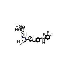 NC/C(=C\C=C/NCOP(=O)(O)O)c1cc(Cc2ccc(CNc3ccc(F)c(F)c3F)cc2)no1